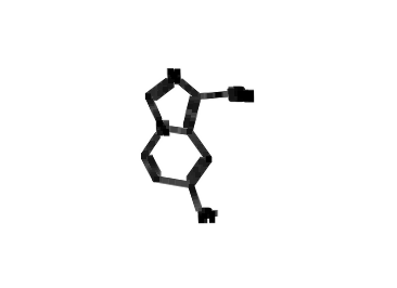 CC(C)c1ccn2cnc(C(C)(C)C)c2c1